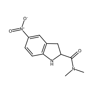 CN(C)C(=O)C1Cc2cc([N+](=O)[O-])ccc2N1